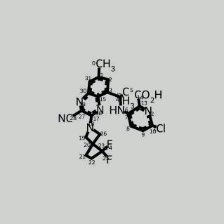 Cc1cc([C@@H](C)Nc2ccc(Cl)nc2C(=O)O)c2nc(N3CC4(CCC4(F)F)C3)c(C#N)nc2c1